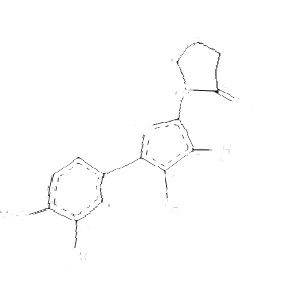 COc1ccc(-c2oc(N3CCCC3=O)c(O)c2O)cc1OC